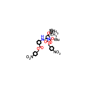 CC(C)(C)OC(=O)[N+]1(C(=O)OCc2ccc([N+](=O)[O-])cc2)C[C@H](O[Si](C)(C)C(C)(C)C)C[C@H]1CNc1cccc(C(=O)OCc2ccc([N+](=O)[O-])cc2)c1